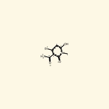 CCc1cc(O)n(C)c(=O)c1C(N)=O